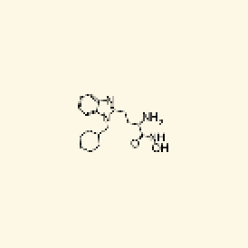 N[C@H](CCc1nc2ccccc2n1CC1CCCCC1)C(=O)NO